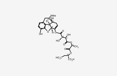 CC[C@]12c3c4ccc(O)c3O[C@H]1C(OC(=O)[C@H](O)[C@@H](O)C(=O)O[C@@H](C)C(=O)O[C@H](CC(=O)O)C(=O)O)=CC[C@@]2(O)[C@H](NC)C4